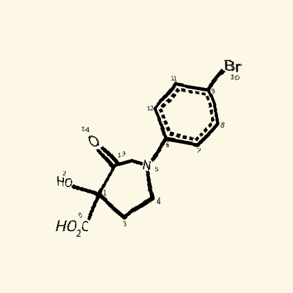 O=C(O)C1(O)CCN(c2ccc(Br)cc2)C1=O